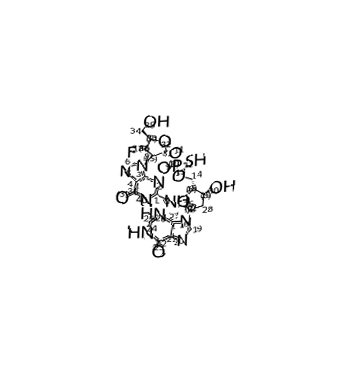 Nc1nc2c(ncn2[C@]2(O[P@](=O)(S)OC[C@H]3O[C@@H](n4cnc5c(=O)[nH]cnc54)C[C@@H]3O)CO[C@H](CO)[C@H]2F)c(=O)[nH]1